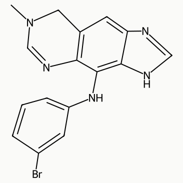 CN1C=Nc2c(cc3nc[nH]c3c2Nc2cccc(Br)c2)C1